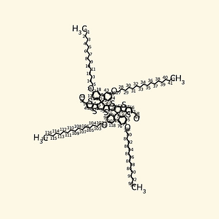 CCCCCCCCCCCCCCCCOc1ccc(C2(c3ccc(OCCCCCCCCCCCCCCCC)cc3)c3c(sc4cc(C=O)sc34)-c3sc4c5c(sc4c32)-c2sc3cc(C=O)sc3c2C5(c2ccc(OCCCCCCCCCCCCCCCC)cc2)c2ccc(OCCCCCCCCCCCCCCCC)cc2)cc1